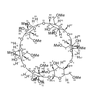 COC[C@H]1O[C@@H]2O[C@H]3[C@H](O)[C@@H](OC)[C@@H](O[C@H]4[C@H](O)[C@@H](OC)[C@@H](O[C@H]5[C@H](O)[C@@H](OC)[C@@H](O[C@H]6[C@H](O)[C@@H](OC)[C@@H](O[C@H]7[C@H](O)[C@@H](OC)[C@@H](O[C@H]1[C@H](O)[C@H]2OC)O[C@@H]7COC)O[C@@H]6COC)O[C@@H]5COC)O[C@@H]4COC)O[C@@H]3COC